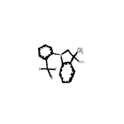 CC1(C)CN(c2ccccc2C(F)(F)F)c2ccccc21